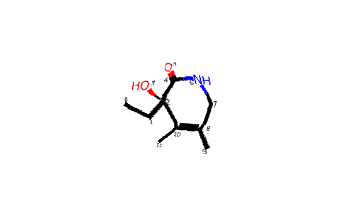 CC[C@]1(O)C(=O)NCC(C)=C1C